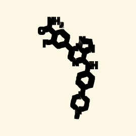 CN1CCN(c2ccc(Nc3ncc(-c4ccc(C(N)=O)c(F)c4)n4ncnc34)cc2)CC1